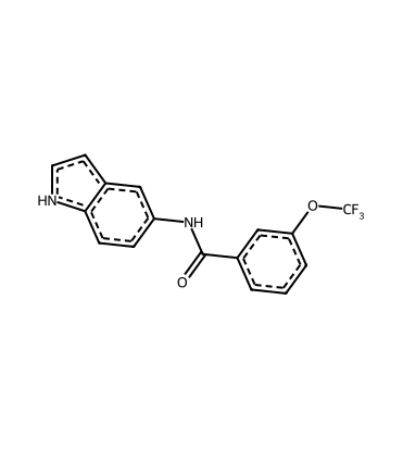 O=C(Nc1ccc2[nH]ccc2c1)c1cccc(OC(F)(F)F)c1